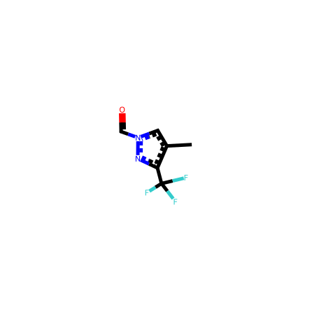 Cc1cn(C=O)nc1C(F)(F)F